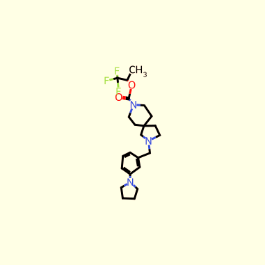 CC(OC(=O)N1CCC2(CCN(Cc3cccc(N4CCCC4)c3)C2)CC1)C(F)(F)F